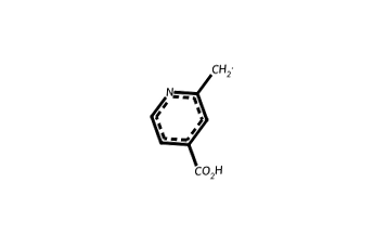 [CH2]c1cc(C(=O)O)ccn1